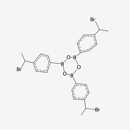 CC(Br)c1ccc(B2OB(c3ccc(C(C)Br)cc3)OB(c3ccc(C(C)Br)cc3)O2)cc1